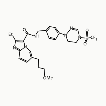 CCc1nc2ccc(CCCOC)cn2c1C(=O)NCc1ccc(N2CCN(S(=O)(=O)C(F)(F)F)C=N2)cc1